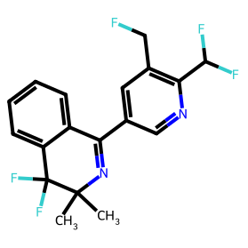 CC1(C)N=C(c2cnc(C(F)F)c(CF)c2)c2ccccc2C1(F)F